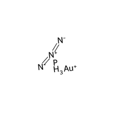 P.[Au+].[N-]=[N+]=[N-]